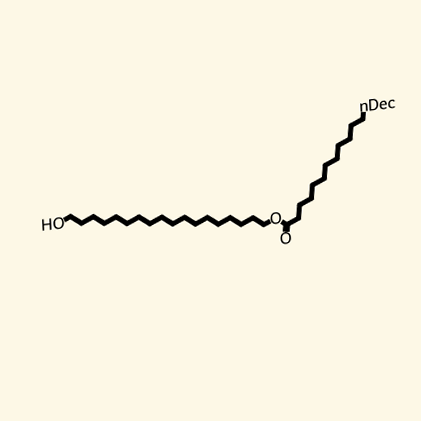 CCCCCCCCCCCCCCCCCCCCCC(=O)OCCCCCCCCCCCCCCCCCCO